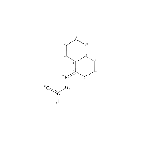 CC(=O)O/N=C1\CCCC2CCCCC12